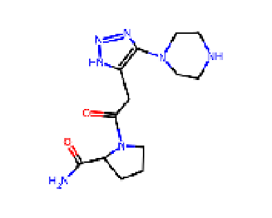 NC(=O)C1CCCN1C(=O)Cc1[nH]nnc1N1CCNCC1